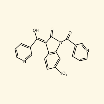 O=C1/C(=C(\O)c2cccnc2)c2ccc([N+](=O)[O-])cc2N1C(=O)c1cccnc1